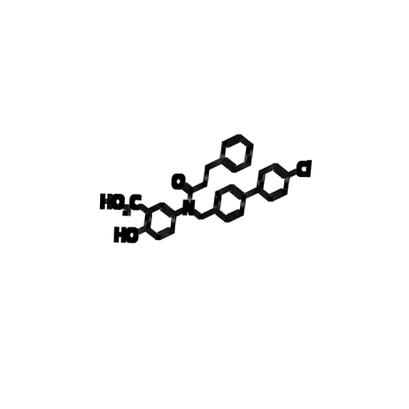 O=C(O)c1cc(N(Cc2ccc(-c3ccc(Cl)cc3)cc2)C(=O)CCc2ccccc2)ccc1O